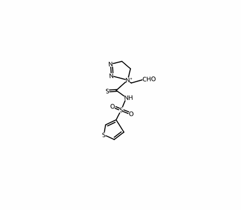 O=CC[N+]1(C(=S)NS(=O)(=O)c2ccsc2)CCN=N1